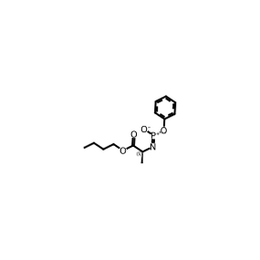 CCCCOC(=O)[C@H](C)N=[P+]([O-])Oc1ccccc1